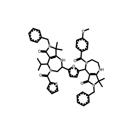 COc1ccc(C(=O)N2CCNC3=C(C(=O)N(Cc4ccccc4)C3(C)C)C2c2ccc(C3CN(C(=O)c4cccs4)C(C(C)C)C4=C(N3)C(C)(C)N(Cc3ccccc3)C4=O)o2)cc1